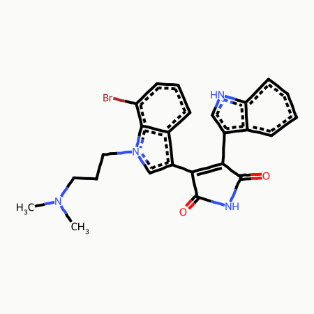 CN(C)CCCn1cc(C2=C(c3c[nH]c4ccccc34)C(=O)NC2=O)c2cccc(Br)c21